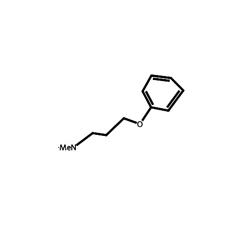 C[N]CCCOc1ccccc1